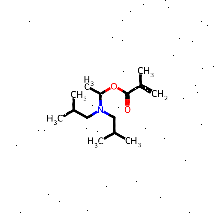 C=C(C)C(=O)OC(C)N(CC(C)C)CC(C)C